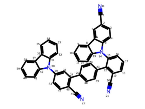 N#Cc1ccc2c(c1)c1ccccc1n2-c1cccc(C#N)c1-c1ccc(-c2cc(-n3c4ccccc4c4ccccc43)ccc2C#N)cc1